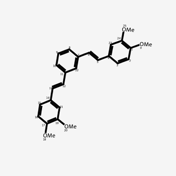 COc1ccc(C=Cc2cccc(C=Cc3ccc(OC)c(OC)c3)c2)cc1OC